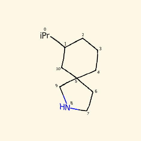 CC(C)C1CCCC2(CCNC2)C1